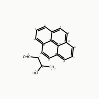 CC(O)CC=O.c1cc2ccc3cccc4ccc(c1)c2c34